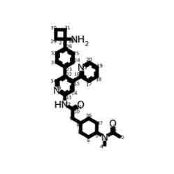 CC(=O)N(C)C1CCC(CC(=O)Nc2cc(-c3ccccn3)c(-c3ccc(C4(N)CCC4)cc3)cn2)CC1